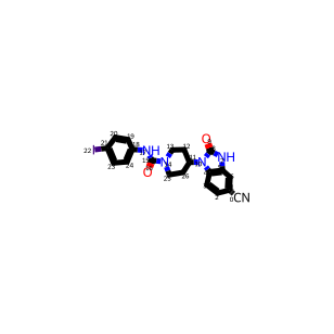 N#Cc1ccc2c(c1)[nH]c(=O)n2C1CCN(C(=O)Nc2ccc(I)cc2)CC1